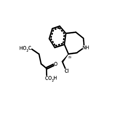 ClC[C@@H]1CNCCc2ccccc21.O=C(O)CCC(=O)C(=O)O